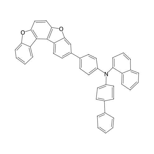 c1ccc(-c2ccc(N(c3ccc(-c4ccc5c(c4)oc4ccc6oc7ccccc7c6c45)cc3)c3cccc4ccccc34)cc2)cc1